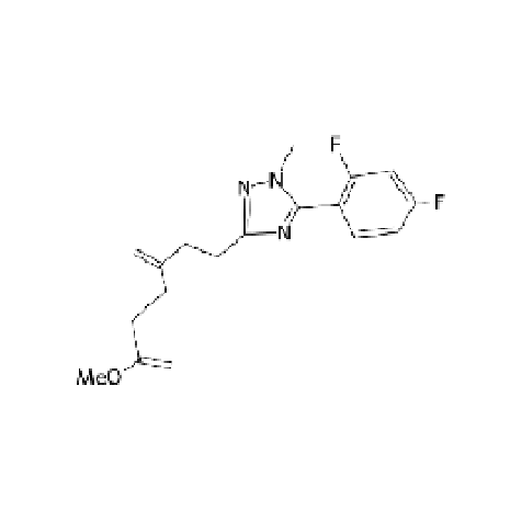 C=C(CCC(=C)OC)CCc1nc(-c2ccc(F)cc2F)n(C)n1